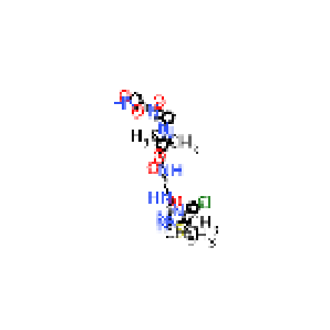 Cc1cc(OCC(=O)NCCCCNC(=O)C[C@@H]2N=C(c3ccc(Cl)cc3)c3c(sc(C)c3C)-n3c(C)nnc32)cc(C)c1/N=N/c1cccc2c1CN(CCC1CCC(=O)NC1=O)C2=O